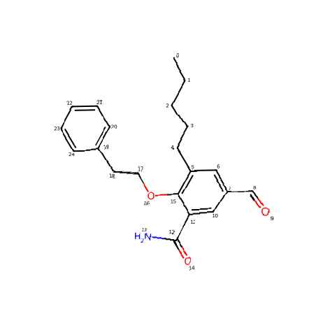 CCCCCc1cc(C=O)cc(C(N)=O)c1OCCc1ccccc1